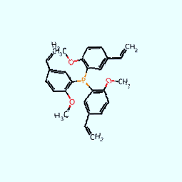 C=Cc1ccc(OC)c(P(c2cc(C=C)ccc2OC)c2cc(C=C)ccc2OC)c1